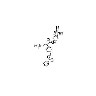 NCCC(C(=O)Nc1ccc2c(c1)SNN2)c1ccc(COC(=O)c2ccccc2)cc1